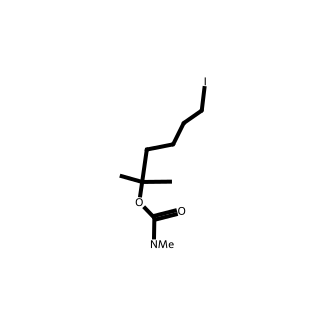 CNC(=O)OC(C)(C)CCCCI